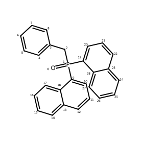 O=P(Cc1ccccc1)(c1cccc2ccccc12)c1cccc2ccccc12